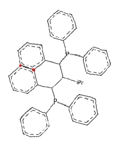 CC(C)C(C(c1ccccc1)P(c1ccccc1)c1ccccc1)C(c1ccccc1)P(c1ccccc1)c1ccccc1